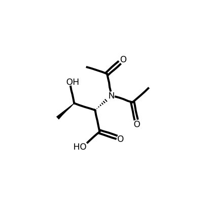 CC(=O)N(C(C)=O)[C@H](C(=O)O)[C@@H](C)O